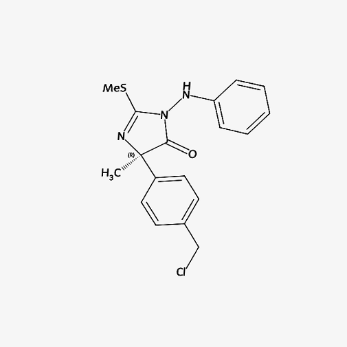 CSC1=N[C@](C)(c2ccc(CCl)cc2)C(=O)N1Nc1ccccc1